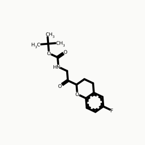 CC(C)(C)OC(=O)NCC(=O)C1CCc2cc(F)ccc2O1